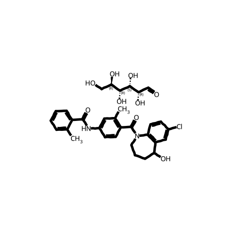 Cc1ccccc1C(=O)Nc1ccc(C(=O)N2CCCC(O)c3cc(Cl)ccc32)c(C)c1.O=C[C@H](O)[C@@H](O)[C@H](O)[C@H](O)CO